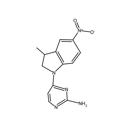 CC1CN(c2ccnc(N)n2)c2ccc([N+](=O)[O-])cc21